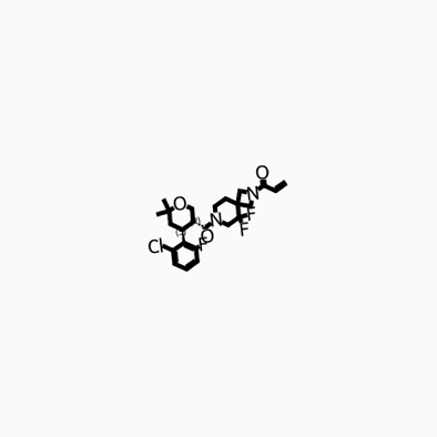 C=CC(=O)N1CC2(CCN(C(=O)[C@H]3COC(C)(C)C[C@@H]3c3c(F)cccc3Cl)CC2(F)F)C1